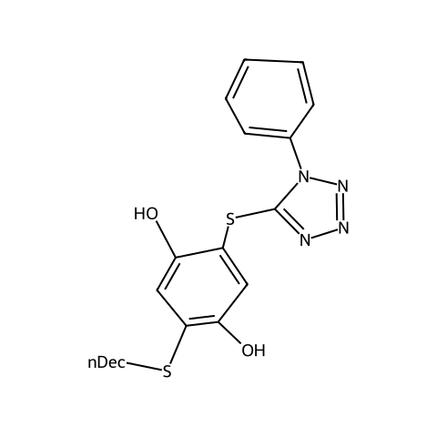 CCCCCCCCCCSc1cc(O)c(Sc2nnnn2-c2ccccc2)cc1O